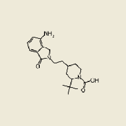 CC(C)(C)C1CC(CCN2Cc3c(N)cccc3C2=O)CCN1C(=O)O